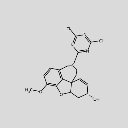 COc1ccc2c3c1OC1C[C@@H](O)C=CC31CCN(c1nc(Cl)nc(Cl)n1)C2